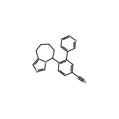 N#Cc1ccc(C2CCCCc3cncn32)c(-c2cccnc2)c1